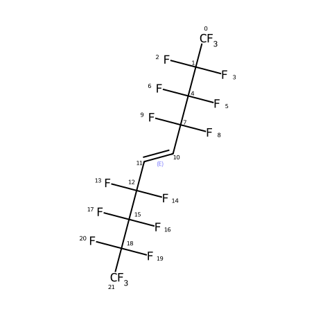 FC(F)(F)C(F)(F)C(F)(F)C(F)(F)/C=C/C(F)(F)C(F)(F)C(F)(F)C(F)(F)F